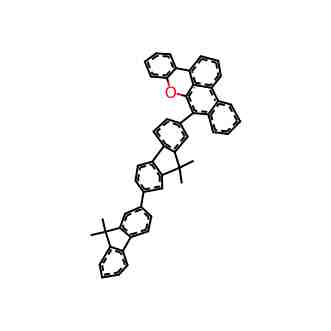 CC1(C)c2ccccc2-c2ccc(-c3ccc4c(c3)C(C)(C)c3cc(-c5c6c7c(cccc7c7ccccc57)-c5ccccc5O6)ccc3-4)cc21